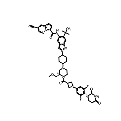 COC[C@H]1CN(C2CCC(n3cc4cc(NC(=O)c5ccc6cc(C#N)cnn56)c(C(C)(C)O)cc4n3)CC2)CCN1C(=O)C1CN(c2cc(F)c([C@H]3CCC(=O)NC3=O)c(F)c2)C1